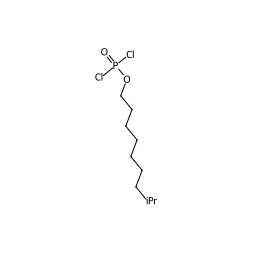 CC(C)CCCCCCCOP(=O)(Cl)Cl